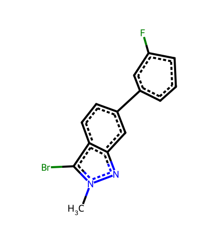 Cn1nc2cc(-c3cccc(F)c3)ccc2c1Br